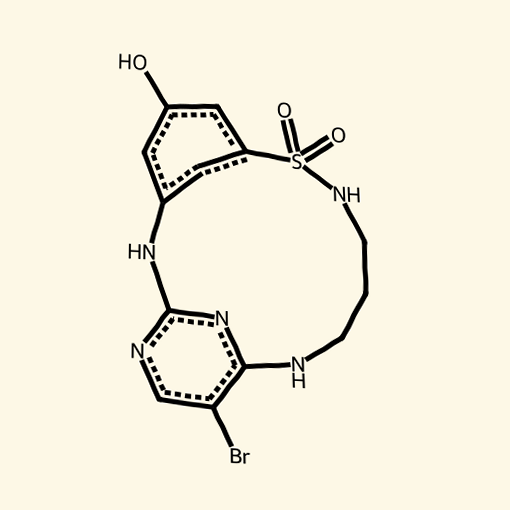 O=S1(=O)NCCCNc2nc(ncc2Br)Nc2cc(O)cc1c2